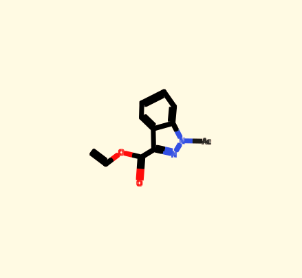 C=COC(=O)c1nn(C(C)=O)c2ccccc12